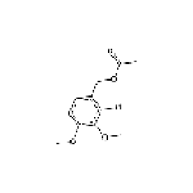 COc1ccc(COC(C)=O)c(Cl)c1OC